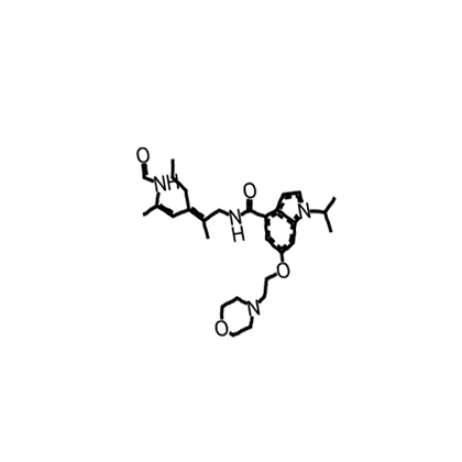 CCCC(/C=C(/C)NC=O)=C(/C)CNC(=O)c1cc(OCCN2CCOCC2)cc2c1ccn2C(C)C